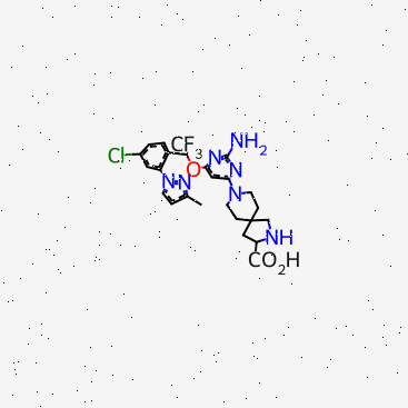 Cc1ccn(-c2cc(Cl)ccc2C(Oc2cc(N3CCC4(CC3)CNC(C(=O)O)C4)nc(N)n2)C(F)(F)F)n1